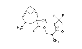 CC1C=C2CC(=CC(C)(C(=O)OCC(C)[NH+]([O-])SC(F)(F)F)C1)C2